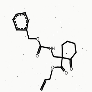 C=CCOC(=O)C1(CNC(=O)OCc2ccccc2)CCCCC1=O